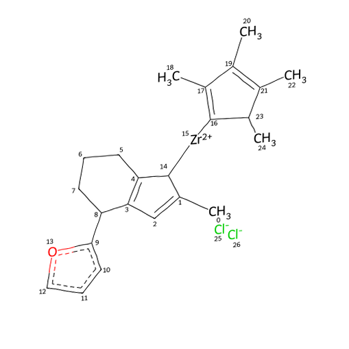 CC1=CC2=C(CCCC2c2ccco2)[CH]1[Zr+2][C]1=C(C)C(C)=C(C)C1C.[Cl-].[Cl-]